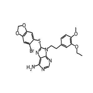 CCOc1cc(CCn2c(Sc3cc4c(cc3Br)OCO4)nc3c(N)ncnc32)ccc1OC